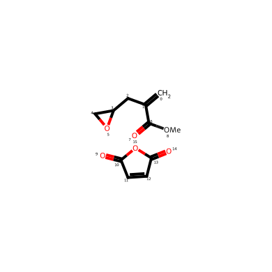 C=C(CC1CO1)C(=O)OC.O=C1C=CC(=O)O1